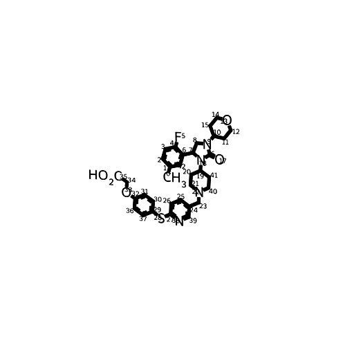 Cc1ccc(F)c(C2CN(C3CCOCC3)C(=O)N2C2CCN(Cc3ccc(Sc4ccc(OCC(=O)O)cc4)nc3)CC2)c1